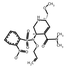 C=CCON([C@H]1CN[C@H](COC)C=C1C(=O)N(C)C)S(=O)(=O)c1ccccc1[N+](=O)[O-]